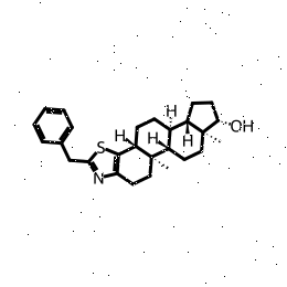 C[C@]12CCc3nc(Cc4ccccc4)sc3[C@@H]1CC[C@@H]1[C@@H]2CC[C@]2(C)[C@@H](O)CC[C@@H]12